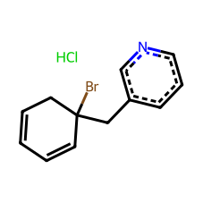 BrC1(Cc2cccnc2)C=CC=CC1.Cl